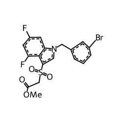 COC(=O)CS(=O)(=O)c1cn(Cc2cccc(Br)c2)c2cc(F)cc(F)c12